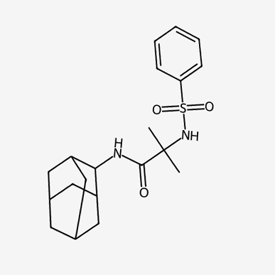 CC(C)(NS(=O)(=O)c1ccccc1)C(=O)NC1C2CC3CC(C2)CC1C3